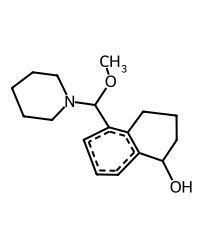 COC(c1cccc2c1CCCC2O)N1CCCCC1